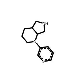 c1cncc(N2CCCC3CNCC32)c1